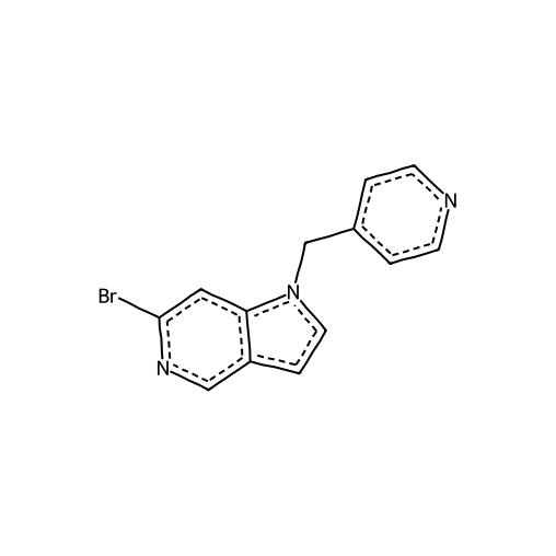 Brc1cc2c(ccn2Cc2ccncc2)cn1